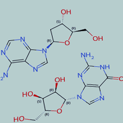 Nc1nc2c(ncn2[C@@H]2O[C@H](CO)[C@@H](O)[C@H]2O)c(=O)[nH]1.Nc1ncnc2c1ncn2[C@H]1C[C@H](O)[C@@H](CO)O1